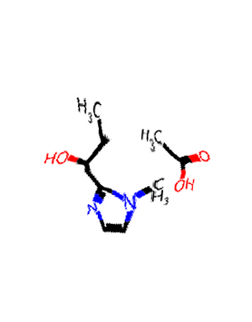 CC(=O)O.CCC(O)c1nccn1C